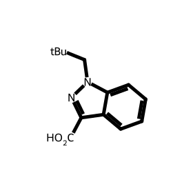 CC(C)(C)Cn1nc(C(=O)O)c2ccccc21